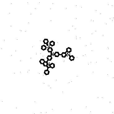 c1ccc(-c2c3ccccc3n3c(-c4ccc(N(c5ccc(-c6ccc7c(c6)c6ccccc6n7-c6ccccc6)cc5)c5ccc([Si](c6ccccc6)(c6ccccc6)c6ccccc6)cc5)cc4)c4ccccc4cc23)cc1